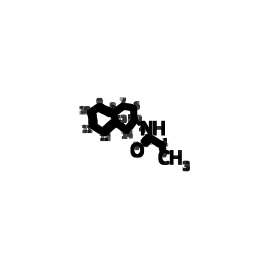 CCC(=O)N[C@H]1CCc2ccccc2C1